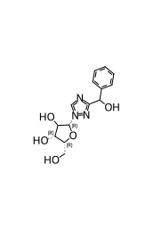 OC[C@H]1O[C@@H](n2cnc(C(O)c3ccccc3)n2)C(O)[C@H]1O